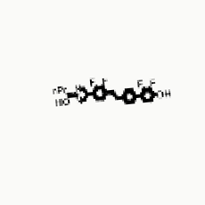 CCCC(O)c1ncc(-c2ccc(CCc3ccc(-c4ccc(O)c(F)c4F)cc3)c(F)c2F)cn1